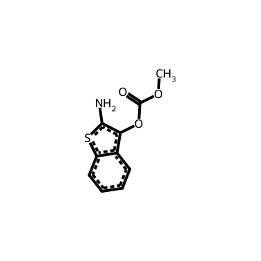 COC(=O)Oc1c(N)sc2ccccc12